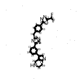 FC(F)c1nnc(-c2ccc(Cn3nnc(-c4cccc(-c5cnn6c5CNCC6)c4)n3)cc2)o1